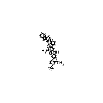 CC[C@H]1CN(C2COC2)CCN1c1ccc(Nc2cc(-c3ccnc(N4CCc5c(cc6n5CCCC6)C4=O)c3CO)cn(C)c2=O)nc1